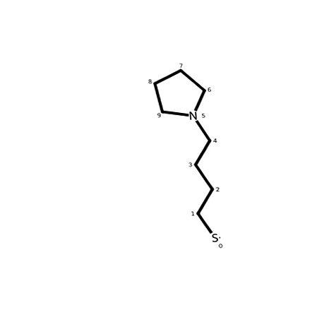 [S]CCCCN1CCCC1